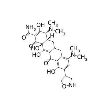 CN(C)c1cc(C2CNOC2)c(O)c2c1CC1C[C@H]3[C@H](N(C)C)C(O)=C(C(N)=O)C(=O)[C@@]3(O)C(O)=C1C2=O